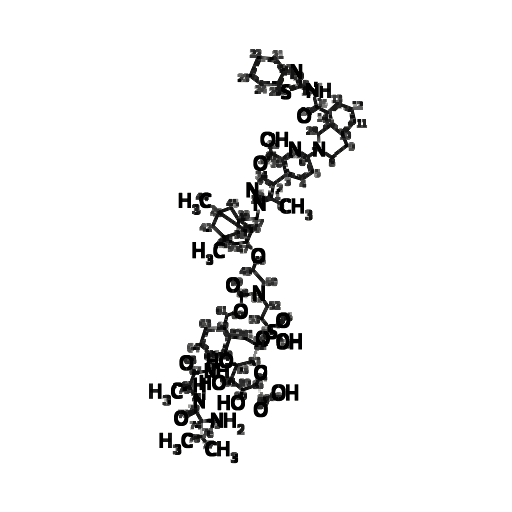 Cc1c(-c2ccc(N3CCc4cccc(C(=O)Nc5nc6ccccc6s5)c4C3)nc2C(=O)O)cnn1CC12CC3(C)CC(C)(C1)CC(OCCN(CCS(=O)(=O)O)C(=O)OCc1ccc(NC(=O)[C@H](C)NC(=O)[C@@H](N)C(C)C)cc1CC[C@@H]1O[C@H](C(=O)O)[C@@H](O)[C@H](O)[C@H]1O)(C3)C2